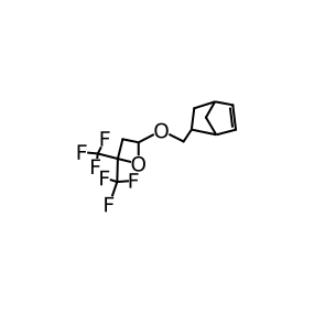 FC(F)(F)C1(C(F)(F)F)CC(OCC2CC3C=CC2C3)O1